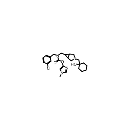 Cn1cnc(OC(=O)N(Cc2cccc(Cl)c2)CC2C3CN(CC4(O)CCCCC4)CC32)c1